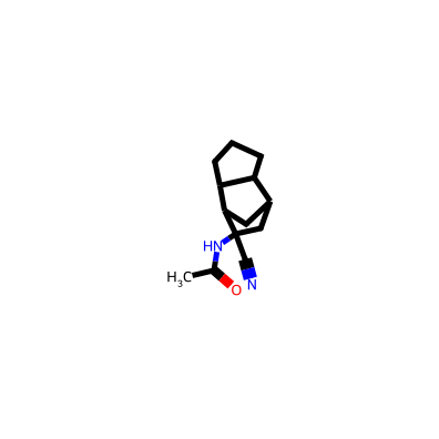 CC(=O)NC1(C#N)CC2CC1C1CCCC21